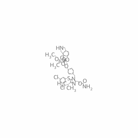 CCOC(=O)[C@H](C)OP(=O)(COc1ccc(Cn2c(COC(N)=O)nc(C(C)C)c2Sc2cc(Cl)cc(Cl)c2)cc1)Oc1ccc2c(c1)CNC2